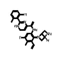 C=Cc1c(C)c(F)cc(NC(=C)C2=CCNC(c3c(C)cccc3CC)=N2)c1N1C[C@H]2NCC21